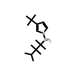 CC(C)C(C)(C)C(C)(C)[SiH2]n1ccc(C(C)(C)C)c1